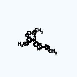 COCCCN(c1cc(OC)cc(OC)c1)c1ccc2ncc(-c3ccn(C)c3)nc2c1